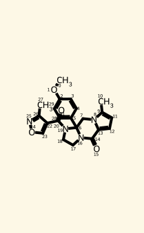 COc1ccc(C23Cn4c(C)ccc4C(=O)N2CCN3C(=O)c2conc2C)cc1